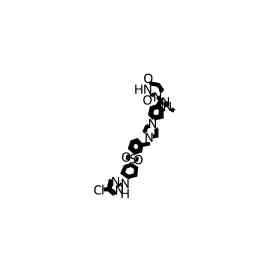 Cn1nc(N2CCC(=O)NC2=O)c2ccc(N3CCN(Cc4cccc(S(=O)(=O)C5CCC(Nc6ncc(Cl)cn6)CC5)c4)CC3)cc21